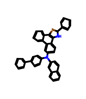 c1ccc(-c2ccc(N(c3ccc4ccccc4c3)c3ccc4c5c(c6ccccc6c4c3)SC(c3ccccc3)N5)cc2)cc1